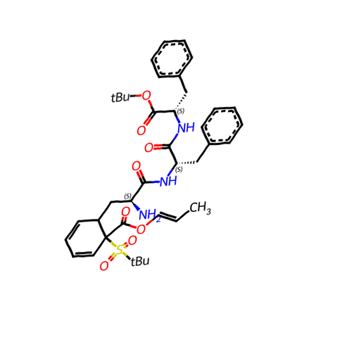 CC=COC(=O)C1(S(=O)(=O)C(C)(C)C)C=CC=CC1C[C@H](N)C(=O)N[C@@H](Cc1ccccc1)C(=O)N[C@@H](Cc1ccccc1)C(=O)OC(C)(C)C